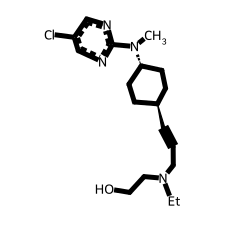 CCN(CC#C[C@H]1CC[C@H](N(C)c2ncc(Cl)cn2)CC1)CCO